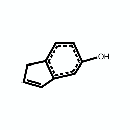 Oc1ccc2c(c1)C=[C]C2